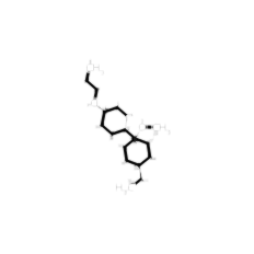 CCCO[C@H]1CC[C@H]([C@]2(OC)CC[C@H](CC)CC2)CC1